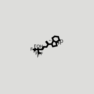 C=C(C/C=C/C(O)(C(F)(F)F)C(F)(F)F)C1CC[C@H]2C(=O)CCC[C@]12C